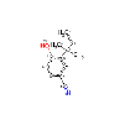 C=CC(C)(C)c1cc(C#N)ccc1O